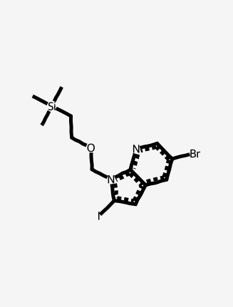 C[Si](C)(C)CCOCn1c(I)cc2cc(Br)cnc21